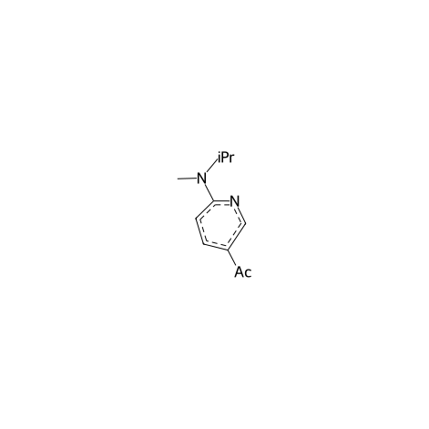 CC(=O)c1ccc(N(C)C(C)C)nc1